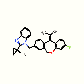 C/C(C#N)=C1\c2ccc(Cn3c(C4(C)CC4)nc4ccccc43)cc2COc2cc(F)ccc21